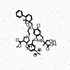 COC(=O)C1CN(CCCOC2(COc3cc(OCc4cncc(S(C)(=O)=O)c4)c(CNC(C)(CO)C(=O)O)cc3Cl)C=CC=C(c3ccccc3)C2(C)C)CC1O